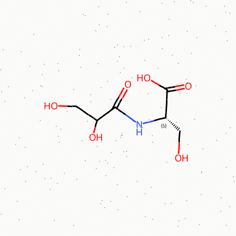 O=C(N[C@@H](CO)C(=O)O)C(O)CO